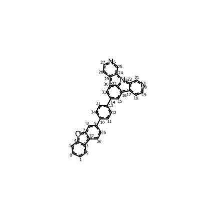 c1ccc2c(c1)oc1cc(-c3ccc(-c4cc5c6ccncc6n6c7cnccc7c(c4)c56)cc3)ccc12